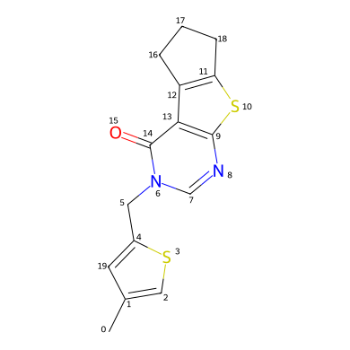 Cc1csc(Cn2cnc3sc4c(c3c2=O)CCC4)c1